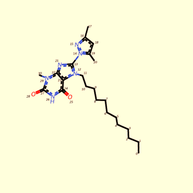 CCCCCCCCCCCCn1c(-n2nc(C)cc2C)nc2c1c(=O)[nH]c(=O)n2C